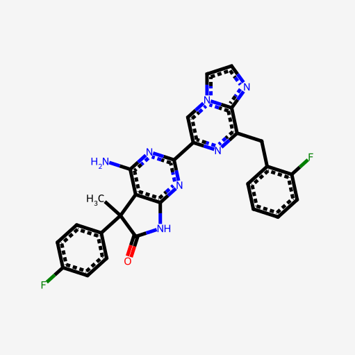 CC1(c2ccc(F)cc2)C(=O)Nc2nc(-c3cn4ccnc4c(Cc4ccccc4F)n3)nc(N)c21